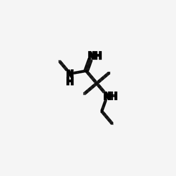 CCNC(C)(C)C(=N)NC